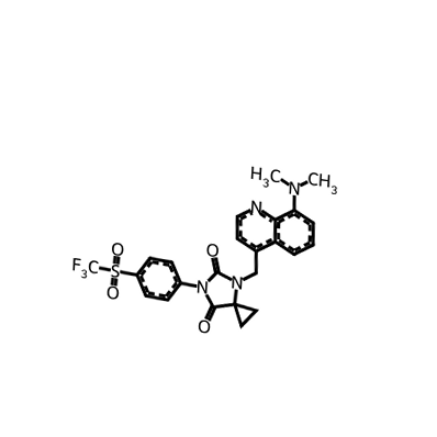 CN(C)c1cccc2c(CN3C(=O)N(c4ccc(S(=O)(=O)C(F)(F)F)cc4)C(=O)C34CC4)ccnc12